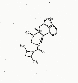 CC1CC(C)N1C(=O)[C@@H]1C=C2c3cccc4[nH]cc(c34)C[C@H]2N(C)C1